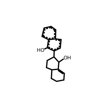 Oc1c(C2CCC3CCCC=C3C2O)ccc2ccccc12